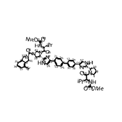 COC(=O)NC(C(=O)N1CCC[C@H]1c1nc(-c2ccc(-c3ccc(-c4c[nH]c([C@@H]5CN(C(=O)N6Cc7cccc(F)c7C6)CN5C(=O)[C@@H](NC(=O)OC)C(C)C)n4)cc3)cc2)c[nH]1)C(C)C